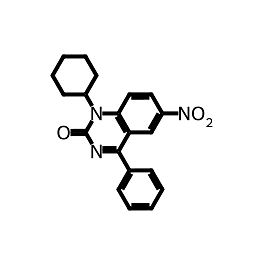 O=c1nc(-c2ccccc2)c2cc([N+](=O)[O-])ccc2n1C1CCCCC1